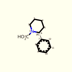 O=C(O)N1CCCC[C@@H]1c1ccccc1